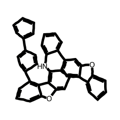 C1=c2oc3cccc(-c4ccc(-c5ccccc5)cc4)c3c2=C(Nc2ccccc2-c2ccc3c(c2)oc2ccccc23)CC1